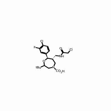 CC(C)(C)C1CN(C(=O)O)C[C@@H](CNC(=O)CCl)[C@H](c2ccc(Cl)c(F)c2)O1